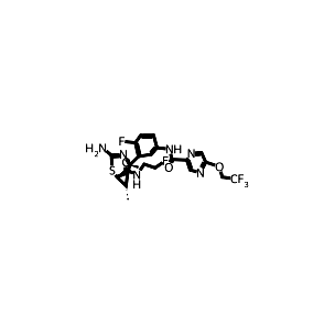 C[C@H]1C2[C@@]1(C(=O)NCCF)SC(N)=N[C@]2(C)c1cc(NC(=O)c2cnc(OCC(F)(F)F)cn2)ccc1F